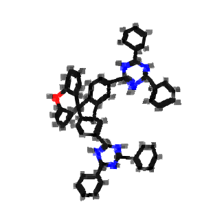 c1ccc(-c2nc(-c3ccccc3)nc(-c3ccc4c(c3)-c3cc(-c5nc(-c6ccccc6)nc(-c6ccccc6)n5)ccc3C43c4ccccc4Oc4ccccc43)n2)cc1